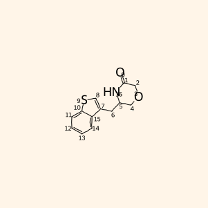 O=C1COCC(Cc2csc3ccccc23)N1